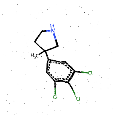 CC1(c2cc(Cl)c(Cl)c(Cl)c2)CCNC1